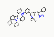 CN1C=C(c2cccc(N3c4ccccc4-c4c(n(-c5ccccc5-c5ccccc5)c5ccccc45)-c4ccccc43)c2)C=C(/C=C(\C=N)c2ccccc2)C1